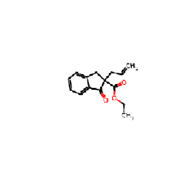 C=CCC1(C(=O)OCC)Cc2ccccc2C1=O